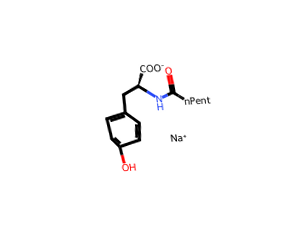 CCCCCC(=O)N[C@@H](Cc1ccc(O)cc1)C(=O)[O-].[Na+]